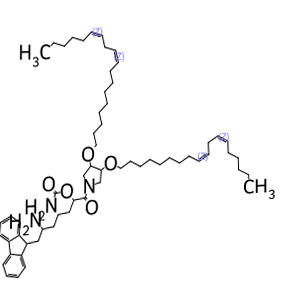 CCCCC/C=C\C/C=C\CCCCCCCCOC1CN(C(=O)C(CCCC(N)CC2c3ccccc3-c3ccccc32)OC(N)=O)CC1OCCCCCCCC/C=C\C/C=C\CCCCC